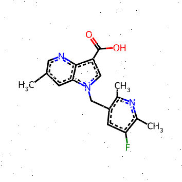 Cc1cnc2c(C(=O)O)cn(Cc3cc(F)c(C)nc3C)c2c1